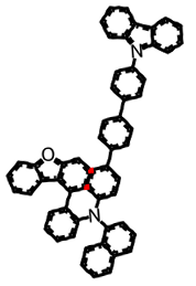 c1ccc(N(c2ccc(-c3ccc(-c4ccc(-n5c6ccccc6c6ccccc65)cc4)cc3)cc2)c2cccc3ccccc23)c(-c2cccc3oc4ccccc4c23)c1